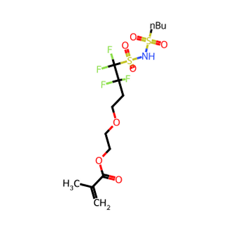 C=C(C)C(=O)OCCOCCC(F)(F)C(F)(F)S(=O)(=O)NS(=O)(=O)CCCC